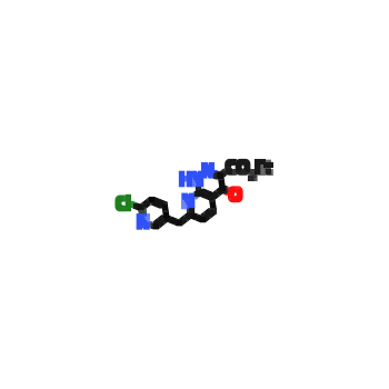 CCOC(=O)c1n[nH]c2nc(Cc3ccc(Cl)nc3)ccc2c1=O